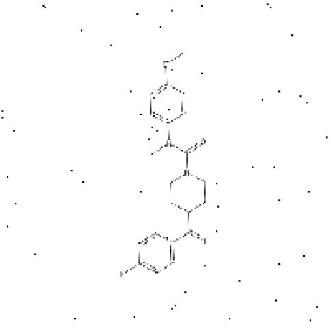 COc1ccc(N(C)C(=O)N2CCC(C(=O)c3ccc(F)cc3)CC2)cc1